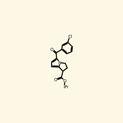 CC(C)OC(=O)C1CCn2c(C(=O)c3cccc(Cl)c3)ccc21